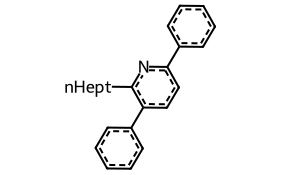 CCCCCCCc1nc(-c2ccccc2)ccc1-c1ccccc1